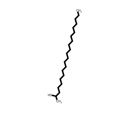 CCCCCCCCCCCCCCCCCCCCC(C)S